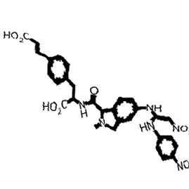 CN1Cc2cc(NC(=C[N+](=O)[O-])Nc3ccc([N+](=O)[O-])cc3)ccc2C1C(=O)NC(Cc1ccc(CCC(=O)O)cc1)C(=O)O